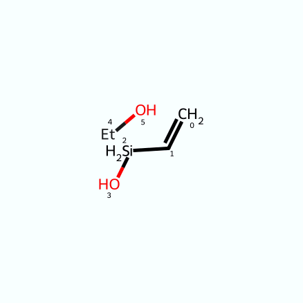 C=C[SiH2]O.CCO